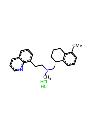 COc1cccc2c1CCC[C@H]2CN(C)CCc1cccc2cccnc12.Cl.Cl